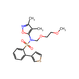 COCCOCN(c1onc(C)c1C)S(=O)(=O)c1ccccc1-c1ccsc1